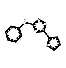 c1ccc(Nc2nnc(-c3cccs3)s2)cc1